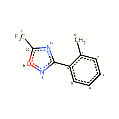 [CH2]c1ccccc1-c1noc(C(F)(F)F)n1